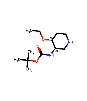 CCO[C@H]1CCNC[C@H]1NC(=O)OC(C)(C)C